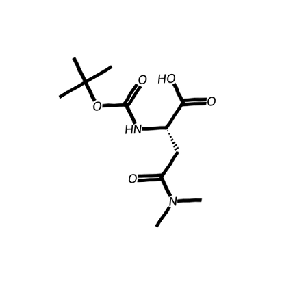 CN(C)C(=O)C[C@H](NC(=O)OC(C)(C)C)C(=O)O